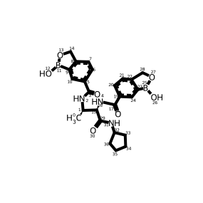 C[C@H](NC(=O)c1ccc2c(c1)B(O)OC2)[C@H](NC(=O)c1ccc2c(c1)B(O)OC2)C(=O)NC1CCCC1